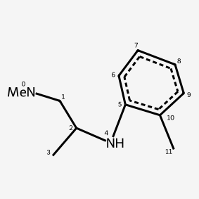 CNCC(C)Nc1ccccc1C